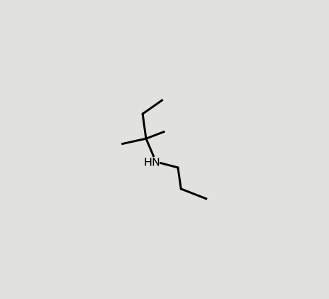 CCCNC(C)(C)CC